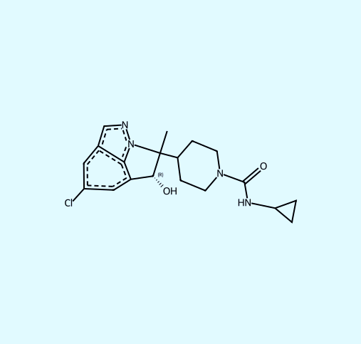 CC1(C2CCN(C(=O)NC3CC3)CC2)[C@H](O)c2cc(Cl)cc3cnn1c23